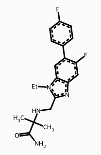 CCn1c(CNC(C)(C)C(N)=O)nc2cc(F)c(-c3ccc(F)cc3)cc21